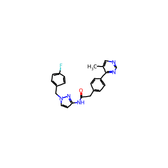 Cc1cncnc1-c1ccc(CC(=O)Nc2ccn(Cc3ccc(F)cc3)n2)cc1